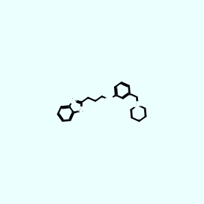 c1cc(CN2CCCCC2)cc(OCCCc2nc3ccccc3[nH]2)c1